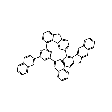 c1ccc2cc(-c3nc(-c4ccc5ccccc5c4)nc(-c4cccc5oc6ccc(-c7cccc8oc9cc%10ccccc%10cc9c78)cc6c45)n3)ccc2c1